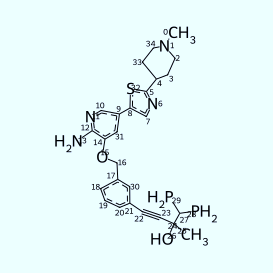 CN1CCC(c2ncc(-c3cnc(N)c(OCc4cccc(C#CC(C)(O)C(P)P)c4)c3)s2)CC1